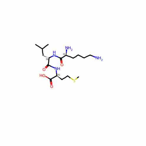 CSCC[C@H](NC(=O)[C@H](CC(C)C)NC(=O)[C@@H](N)CCCCN)C(=O)O